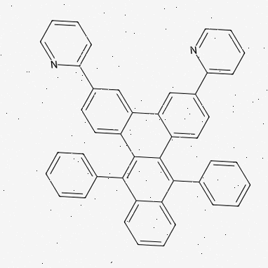 c1ccc(-c2c3ccccc3c(-c3ccccc3)c3c4ccc(-c5ccccn5)cc4c4cc(-c5ccccn5)ccc4c23)cc1